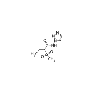 CCC(C(=O)Nn1ccnn1)S(C)(=O)=O